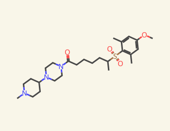 COc1cc(C)c(S(=O)(=O)C(C)CCCCC(=O)N2CCN(C3CCN(C)CC3)CC2)c(C)c1